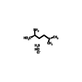 C[S+](C)CC[C@H](N)C(=O)O.Cl.S.[Cl-]